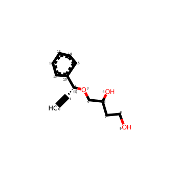 C#C[C@@H](OCC(O)CCO)c1ccccc1